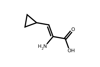 NC(=CC1CC1)C(=O)O